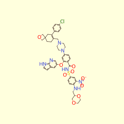 O=C(NS(=O)(=O)c1ccc(NCC2COCCO2)c([N+](=O)[O-])c1)c1ccc(N2CCN(CC3=C(c4ccc(Cl)cc4)CC4(CC3)COC4)CC2)cc1Oc1cnc2[nH]ccc2c1